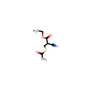 CCOC(=O)C(C#N)CSC(C)=O